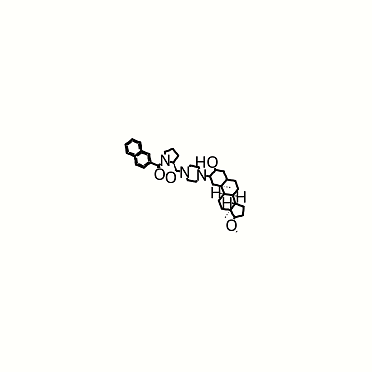 COC1CC[C@H]2[C@@H]3CCC4CC(O)C(N5CCN(C(=O)[C@@H]6CCCN6C(=O)c6ccc7ccccc7c6)CC5)C[C@]4(C)[C@@H]3CC[C@]12C